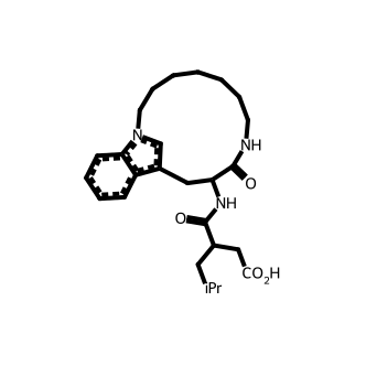 CC(C)CC(CC(=O)O)C(=O)NC1Cc2cn(c3ccccc23)CCCCCCCNC1=O